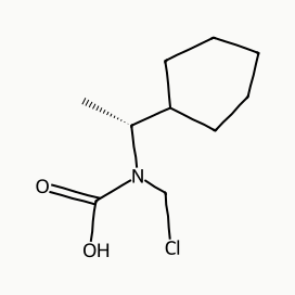 C[C@H](C1CCCCC1)N(CCl)C(=O)O